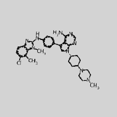 Cc1c(Cl)ccc2nc(Nc3ccc(-c4cn([C@H]5CC[C@H](N6CCN(C)CC6)CC5)c5ncnc(N)c45)cc3)n(C)c12